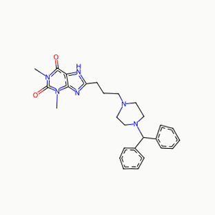 Cn1c(=O)c2[nH]c(CCCN3CCN(C(c4ccccc4)c4ccccc4)CC3)nc2n(C)c1=O